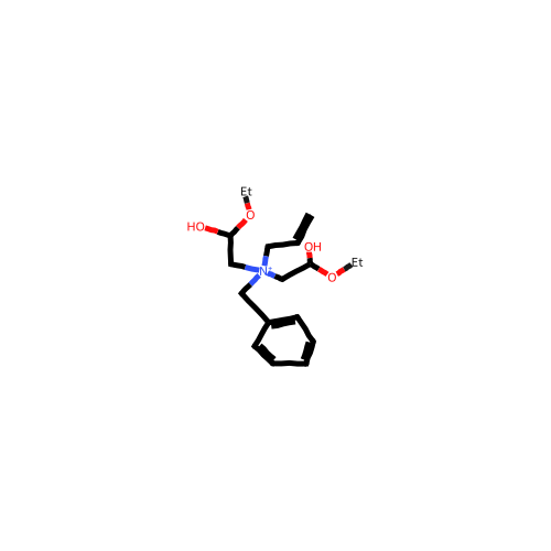 C=CC[N+](Cc1ccccc1)(CC(O)OCC)CC(O)OCC